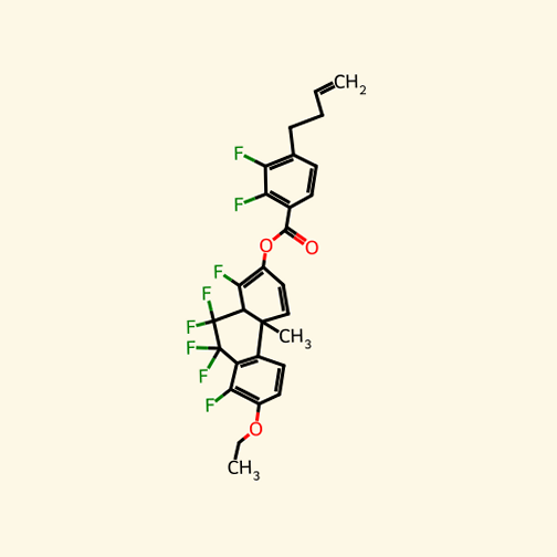 C=CCCc1ccc(C(=O)OC2=C(F)C3C(C)(C=C2)c2ccc(OCC)c(F)c2C(F)(F)C3(F)F)c(F)c1F